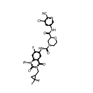 CC(C)n1c(=O)n(CC2CC2(F)F)c(=O)c2cc(NC(=O)N3CCOC(C(=O)Nc4cnc(C#N)c(Cl)c4)C3)c(F)cc21